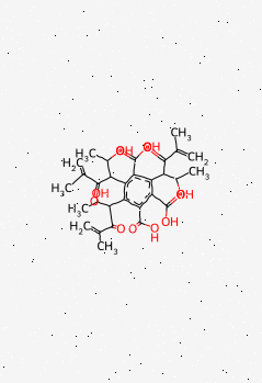 C=C(C)C(=O)C(c1c(C(=O)O)c(C(=O)O)c(C(C(=O)C(=C)C)C(C)O)c(C(C(=O)C(=C)C)C(C)O)c1C(=O)O)C(C)O